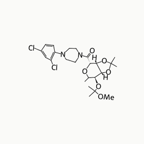 COC(C)(C)O[C@H]1C(C)O[C@H](C(=O)N2CCN(c3ccc(Cl)cc3Cl)CC2)[C@@H]2OC(C)(C)O[C@@H]21